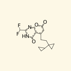 O=c1cc(CCC2(C3CC3)CC2)c2c(=O)[nH]c(C(F)F)nc2o1